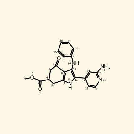 COC(=O)C1CC(=O)c2c([nH]c(-c3ccnc(N)c3)c2Nc2ccccc2)C1